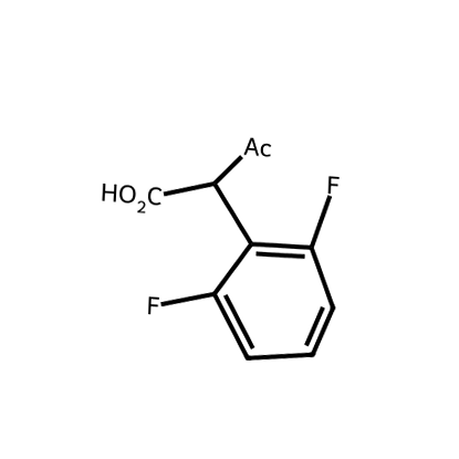 CC(=O)C(C(=O)O)c1c(F)cccc1F